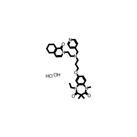 CCN1C(=O)C(C)(C)C(=O)N(C)c2ccc(OCCCN(CCn3ccc4c(c3=O)CCCC4)Cc3ccncc3)cc21.Cl.Cl